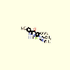 COc1cc2c(=O)c3c4ccc(C#N)cc4[nH]c3n(C(C)C)c2c(F)c1N1CCN(C)[C@H](C)C1